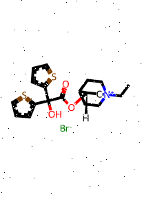 CC[N+]12CCC(CC1)[C@@H](OC(=O)C(O)(c1cccs1)c1cccs1)C2.[Br-]